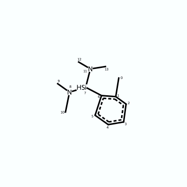 Cc1ccccc1[SiH](N(C)C)N(C)C